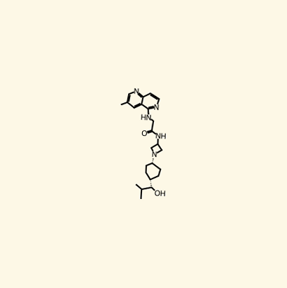 Cc1cnc2ccnc(NCC(=O)NC3CN([C@H]4CC[C@@H](C(O)C(C)C)CC4)C3)c2c1